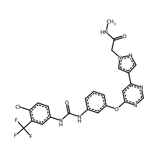 CNC(=O)Cn1cc(-c2cc(Oc3cccc(NC(=O)Nc4ccc(Cl)c(C(F)(F)F)c4)c3)ncn2)cn1